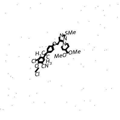 COC(OC)C1CCN(c2nc(SC)ncc2COc2ccc(C(C)(C)c3cc(Cl)c(OCCCl)c(C#N)c3)cc2)CC1